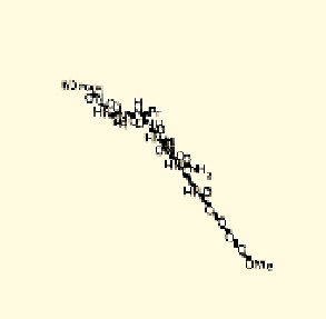 CCCCCCCCCCCC(=O)NCC(=O)NC(C(=O)NCC(=O)NC(C(=O)NCC(=O)NCC(=O)NCC(=O)NC(CCCCNC(=O)CCOCCOCCOCCOCCOC)C(N)=O)C(C)C)C(C)C